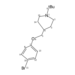 CC(C)(C)N1CCC(COc2ccc(Br)cc2)CC1